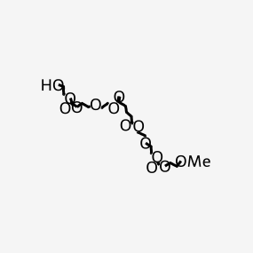 COCCOC(=O)OCCOCCOC(=O)CCCC(=O)OCCOCCOC(=O)OCCO